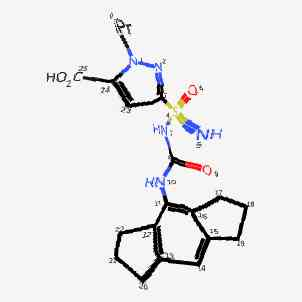 CC(C)n1nc(S(=N)(=O)NC(=O)Nc2c3c(cc4c2CCC4)CCC3)cc1C(=O)O